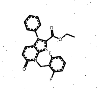 CCOC(=O)c1sc2c(ccc(=O)n2Cc2c(F)cccc2F)c1-c1ccccc1